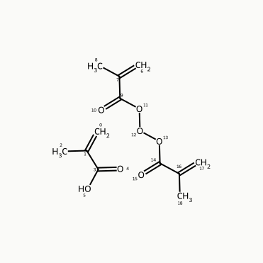 C=C(C)C(=O)O.C=C(C)C(=O)OOOC(=O)C(=C)C